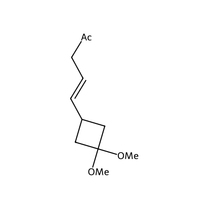 COC1(OC)CC(C=CCC(C)=O)C1